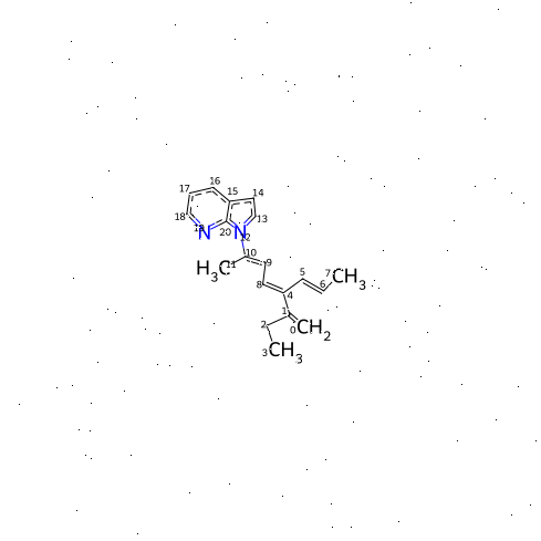 C=C(CC)C(/C=C/C)=C/C=C(\C)n1ccc2cccnc21